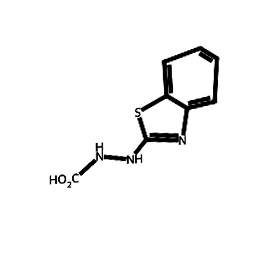 O=C(O)NNc1nc2ccccc2s1